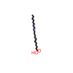 CCCCC/C=C/C=C/CCC/C=C/CCCCCC(=O)O